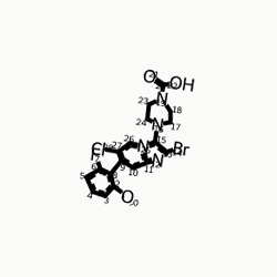 COc1cccc(F)c1-c1cc2nc(Br)c(N3CCN(C(=O)O)CC3)n2cc1Cl